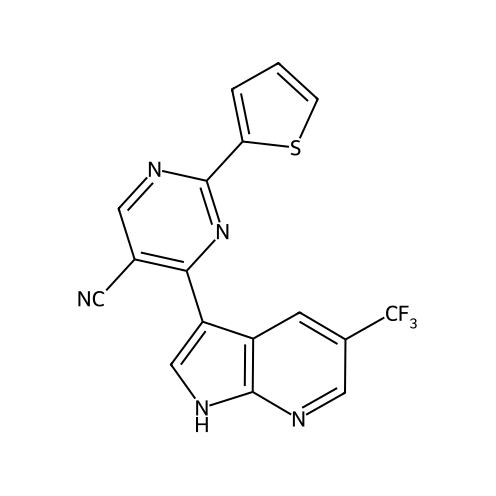 N#Cc1cnc(-c2cccs2)nc1-c1c[nH]c2ncc(C(F)(F)F)cc12